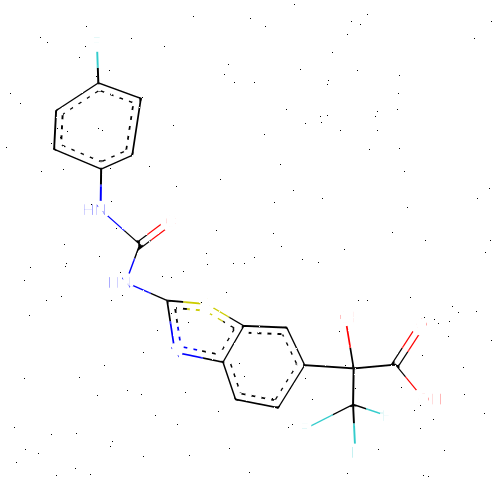 O=C(Nc1ccc(F)cc1)Nc1nc2ccc(C(O)(C(=O)O)C(F)(F)F)cc2s1